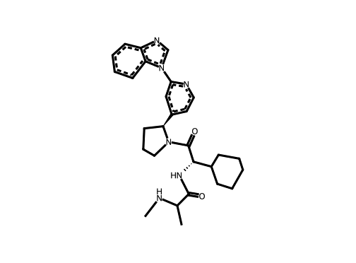 CNC(C)C(=O)N[C@H](C(=O)N1CCC[C@H]1c1ccnc(-n2cnc3ccccc32)c1)C1CCCCC1